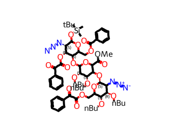 CCCCO[C@@H]1C(COC(=O)C(=O)c2ccccc2)O[C@@H](OC2C(C(=O)OC)OC(O[C@@H]3C(COC(=O)c4ccccc4)OC(O[Si](C)(C)C(C)(C)C)[C@@H](N=[N+]=[N-])[C@H]3OC(=O)C(=O)c3ccccc3)[C@@H](OCCCC)[C@H]2OCCCC)C(N=[N+]=[N-])[C@H]1OCCCC